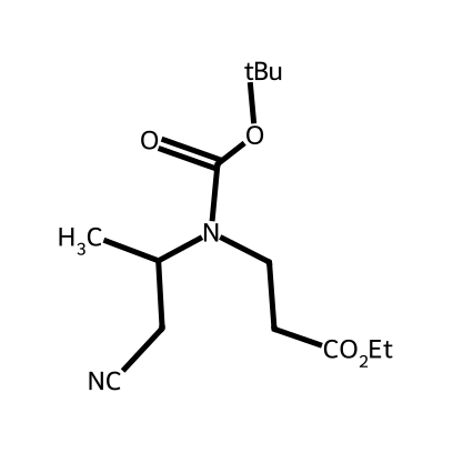 CCOC(=O)CCN(C(=O)OC(C)(C)C)C(C)CC#N